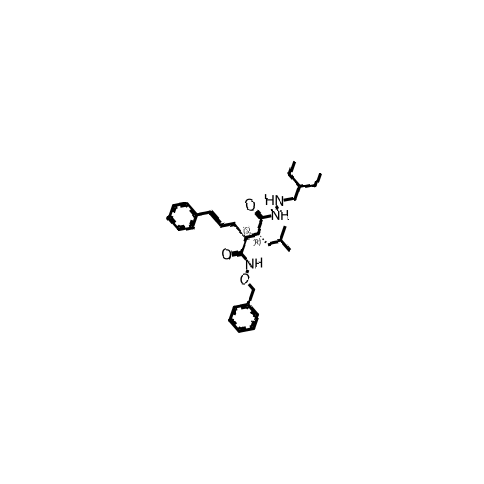 CCC(CC)CNNC(=O)[C@H](CC(C)C)[C@H](CC=Cc1ccccc1)C(=O)NOCc1ccccc1